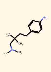 CN(C)CC(C)(C)CCc1ccc(N)cc1